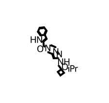 CC(C)OC1(CNc2cc3n(n2)CCN(C(=O)c2cc4ccccc4[nH]2)C3)CCC1